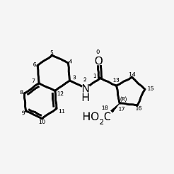 O=C(NC1CCCc2ccccc21)C1CCC[C@H]1C(=O)O